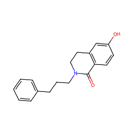 O=C1c2ccc(O)cc2CCN1CCCc1ccccc1